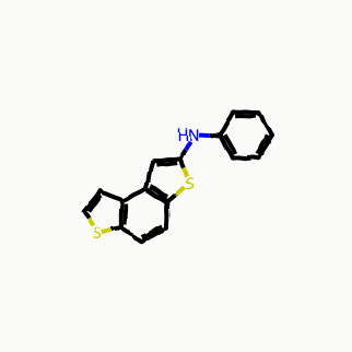 c1ccc(Nc2cc3c(ccc4sccc43)s2)cc1